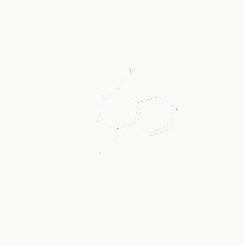 CC1=NCC(C)c2ccncc21